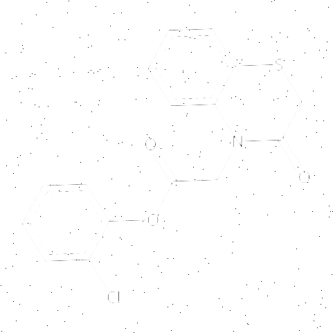 O=C(CN1C(=O)CSc2ccccc21)Oc1ccccc1Cl